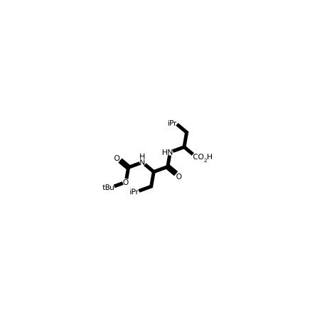 CC(C)CC(NC(=O)C(CC(C)C)NC(=O)OC(C)(C)C)C(=O)O